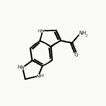 NC(=O)c1c[nH]c2cc3c(cc12)NCN3